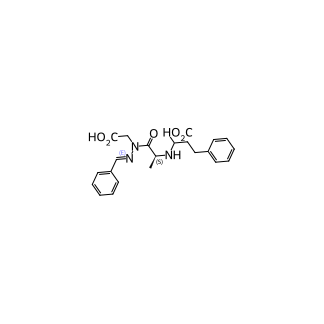 C[C@H](NC(CCc1ccccc1)C(=O)O)C(=O)N(CC(=O)O)/N=C/c1ccccc1